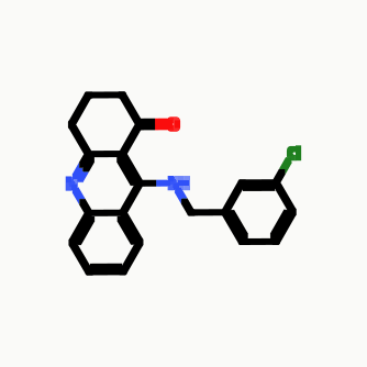 O=C1CCCc2nc3ccccc3c(NCc3cccc(Cl)c3)c21